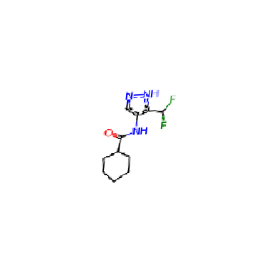 O=C(Nc1cn[nH]c1C(F)F)C1CCCCC1